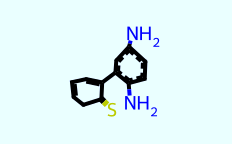 Nc1ccc(N)c(C2=CC=CCC2=S)c1